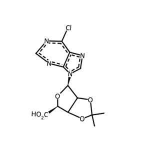 CC1(C)OC2C(O1)[C@H](n1cnc3c(Cl)ncnc31)O[C@@H]2C(=O)O